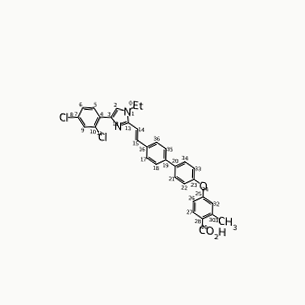 CCn1cc(-c2ccc(Cl)cc2Cl)nc1C=Cc1ccc(-c2ccc(Oc3ccc(C(=O)O)c(C)c3)cc2)cc1